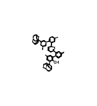 Cc1cc(-c2ccc(C)cc2-c2cccc(-c3cc(C)ccc3-c3cc(C)cc(C45CC6CC(CC(C6)C4)C5)c3O)n2)cc(C23CC4CC(CC(C4)C2)C3)c1